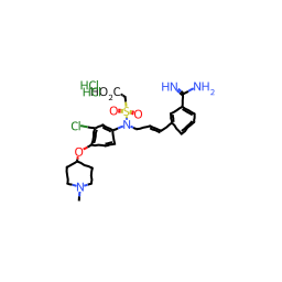 CN1CCC(Oc2ccc(N(C/C=C/c3cccc(C(=N)N)c3)S(=O)(=O)CC(=O)O)cc2Cl)CC1.Cl.Cl